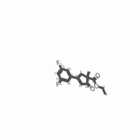 CCOC(=O)C1(C)CC(c2cc(F)cc(F)c2)=CC1=O